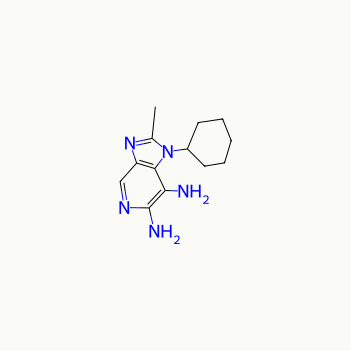 Cc1nc2cnc(N)c(N)c2n1C1CCCCC1